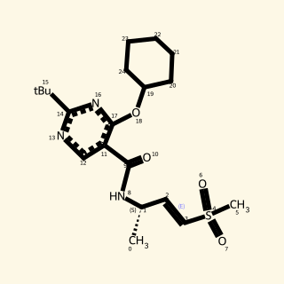 C[C@@H](/C=C/S(C)(=O)=O)NC(=O)c1cnc(C(C)(C)C)nc1OC1CCCCC1